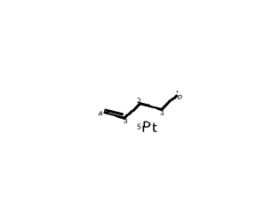 [CH2]CCC=C.[Pt]